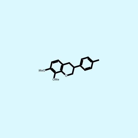 COc1ccc2c(c1OC)OCC(c1ccc(C)cc1)C2